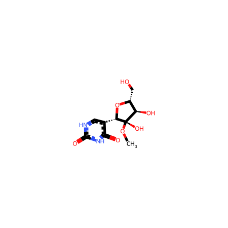 CO[C@@]1(O)[C@H](O)[C@@H](CO)O[C@H]1c1c[nH]c(=O)[nH]c1=O